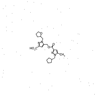 Cc1cc(C(=O)OCc2cc(C(=O)O)nn2CC2CCCO2)nn1CC1CCCC1